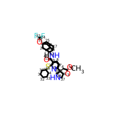 COC(=O)C[C@@]1(c2ccc(C(=O)N[C@H]3C4CC5CC3C[C@@](OC(F)F)(C5)C4)c(SC3CCCCC3)n2)CCNC1